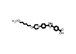 COCCCCCCOC1CCN(c2ccc(-c3nnc(-c4ccc(C(=O)O)cc4)s3)cc2)CC1